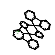 Clc1cccc2c1C1(c3ccccc3-c3ccccc31)c1ccccc1C21c2ccccc2-c2ccccc21